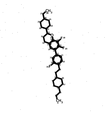 CCCC1CCC(CCc2ccc(-c3cc4c(c(F)c3F)OC(C3CCC(CC)CC3)CC4)cc2F)CC1